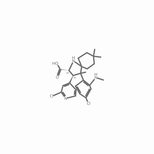 CNc1cc(Cl)ccc1C1(C)[C@@H](c2ccnc(Cl)c2)[C@H](C(=O)O)NC12CCC(C)(C)CC2